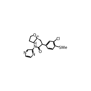 CSc1ccc(C(C[C@H]2CCCO2)C(=O)Nc2cnccn2)cc1Cl